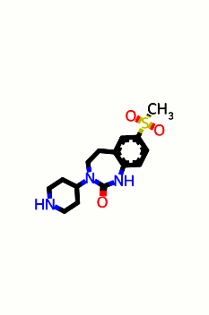 CS(=O)(=O)c1ccc2c(c1)CCN(C1CCNCC1)C(=O)N2